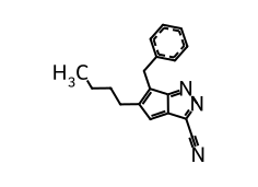 CCCCC1=C(Cc2ccccc2)C2=NN=C(C#N)C2=C1